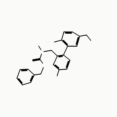 CCN(Cc1cc(F)ccc1-c1cc(CC(=O)O)ccc1OC)C(=O)OCc1ccccc1